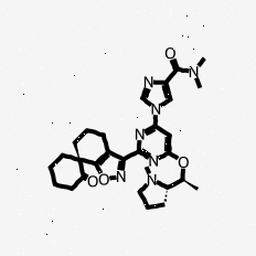 C[C@H](Oc1cc(-n2cnc(C(=O)N(C)C)c2)nc(-c2noc3c2CCC[C@@]32CCCCC2=O)n1)[C@@H]1CCCN1C